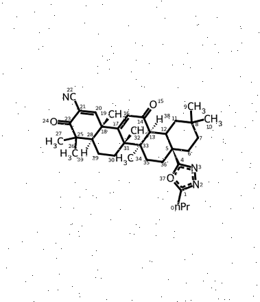 CCCc1nnc([C@]23CCC(C)(C)CC2[C@@H]2C(=O)C=C4[C@@]5(C)C=C(C#N)C(=O)C(C)(C)[C@@H]5CC[C@@]4(C)[C@]2(C)CC3)o1